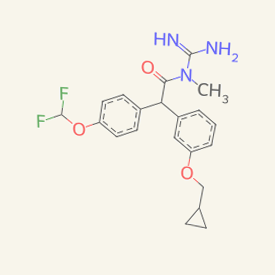 CN(C(=N)N)C(=O)C(c1ccc(OC(F)F)cc1)c1cccc(OCC2CC2)c1